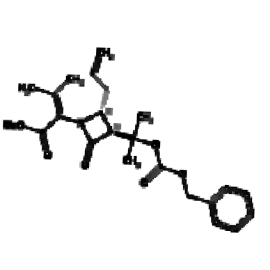 C=CC[C@@H]1[C@@H](C(C)(C)OC(=O)OCc2ccccc2)C(=O)N1C(C(=O)OC)=C(C)C